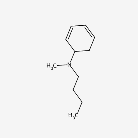 CCCCN(C)C1C=CC=CC1